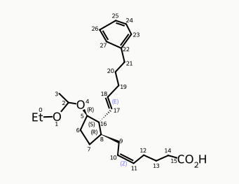 CCOC(C)O[C@@H]1CC[C@H](C/C=C\CCCC(=O)O)[C@H]1/C=C/CCCc1ccccc1